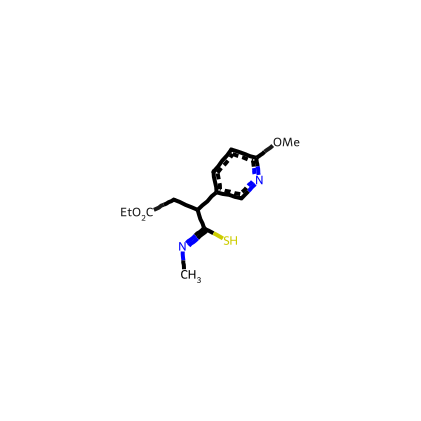 CCOC(=O)CC(/C(S)=N/C)c1ccc(OC)nc1